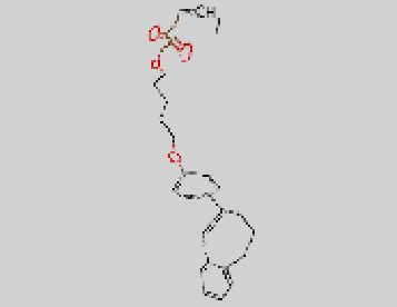 C=CS(=O)(=O)OCCCCCOc1ccc(C2=Cc3ccccc3CCC2)cc1